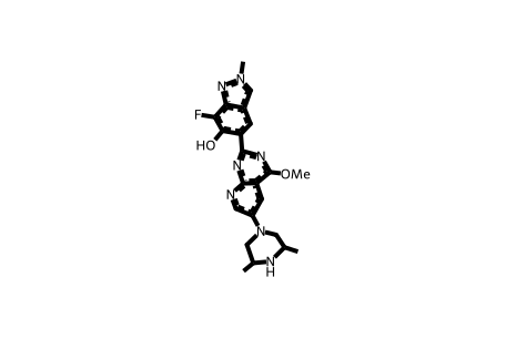 COc1nc(-c2cc3cn(C)nc3c(F)c2O)nc2ncc(N3CC(C)NC(C)C3)cc12